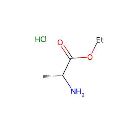 CCOC(=O)[C@@H](C)N.Cl